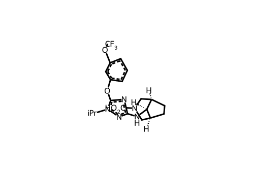 CC(C)n1nc(N[C@H]2[C@@H]3CC[C@H]2CN(C(=O)O)C3)nc1Oc1cccc(OC(F)(F)F)c1